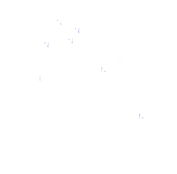 CC1(c2cc(C(F)F)nc3ncnn23)CCCN(C(=O)c2ccc3c(ccn3CCF)c2)C1